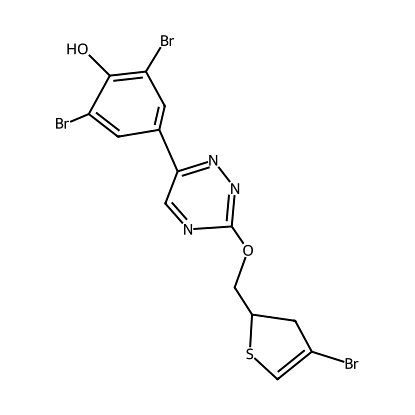 Oc1c(Br)cc(-c2cnc(OCC3CC(Br)=CS3)nn2)cc1Br